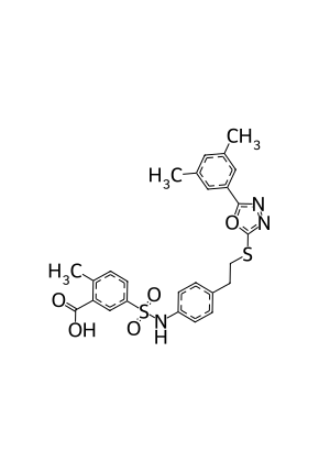 Cc1cc(C)cc(-c2nnc(SCCc3ccc(NS(=O)(=O)c4ccc(C)c(C(=O)O)c4)cc3)o2)c1